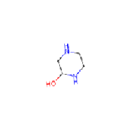 OC1CNCCN1